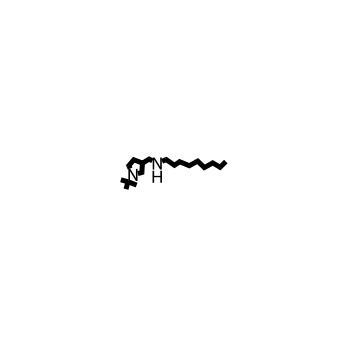 CCCCCCCCCNCC1CCN(C(C)(C)C)C1